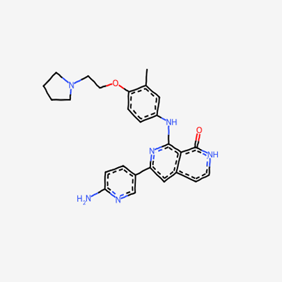 Cc1cc(Nc2nc(-c3ccc(N)nc3)cc3cc[nH]c(=O)c23)ccc1OCCN1CCCC1